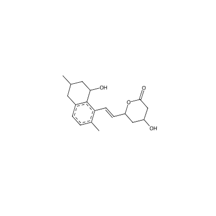 Cc1ccc2c(c1C=CC1CC(O)CC(=O)O1)C(O)CC(C)C2